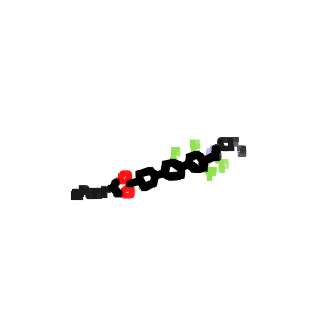 CCCCCC1COC(C2CCC(c3ccc(-c4cc(F)c(/C(F)=C/C(F)(F)F)c(F)c4)c(F)c3)CC2)OC1